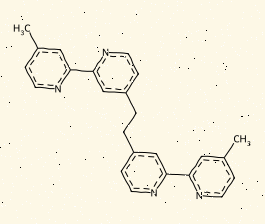 Cc1ccnc(-c2cc(CCc3ccnc(-c4cc(C)ccn4)c3)ccn2)c1